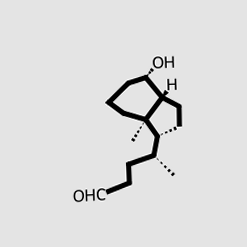 C[C@H](CCC=O)[C@H]1CC[C@H]2[C@@H](O)CCC[C@]12C